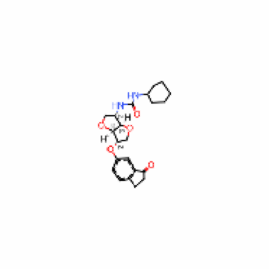 O=C(NC1CCCCC1)N[C@H]1CO[C@H]2[C@@H]1OC[C@@H]2Oc1ccc2c(c1)C(=O)CC2